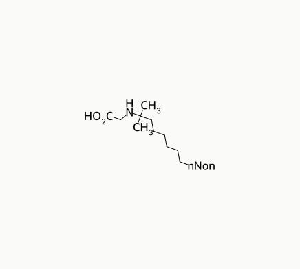 CCCCCCCCCCCCCCCC(C)(C)NCC(=O)O